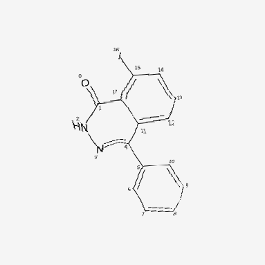 O=c1[nH]nc(-c2ccccc2)c2cccc(I)c12